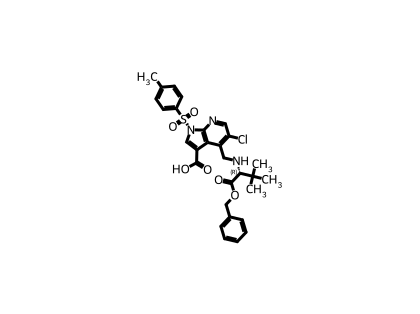 Cc1ccc(S(=O)(=O)n2cc(C(=O)O)c3c(CN[C@@H](C(=O)OCc4ccccc4)C(C)(C)C)c(Cl)cnc32)cc1